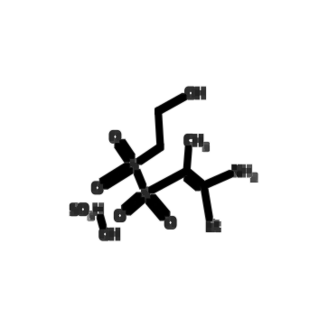 CCC(N)=C(C)S(=O)(=O)S(=O)(=O)CCO.O=S(=O)(O)O